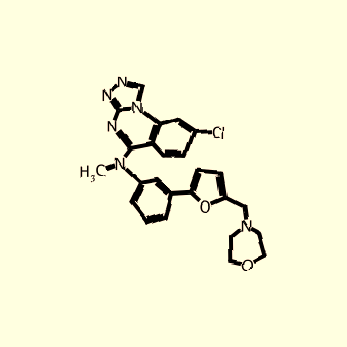 CN(c1cccc(-c2ccc(CN3CCOCC3)o2)c1)c1nc2nncn2c2cc(Cl)ccc12